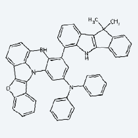 CC1(C)c2ccccc2-c2[nH]c3c(-c4cc(N(c5ccccc5)c5ccccc5)cc5c4Bc4cccc6c7oc8ccccc8c7n-5c46)cccc3c21